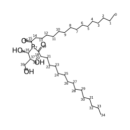 CCCCCCCCCCCCCCCC(=O)P(C(=O)CCCCCCCCCCCCCCC)C(O)C(O)CO